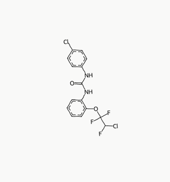 O=C(Nc1ccc(Cl)cc1)Nc1ccccc1OC(F)(F)C(F)Cl